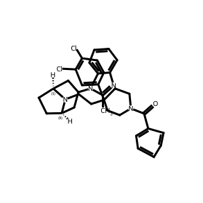 Cc1nc2ccccc2n1C1C[C@H]2CC[C@@H](C1)N2CCC1(c2ccc(Cl)c(Cl)c2)CCN(C(=O)c2ccccc2)CC1